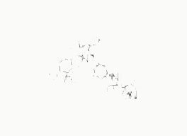 COc1ccc(C2=NN(Cc3cccc(NC(=O)c4ccno4)c3)C(=O)OC2)cc1OC